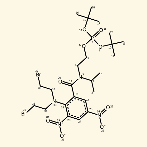 CC(C)N(CCOP(=O)(OC(C)(C)C)OC(C)(C)C)C(=O)c1cc([N+](=O)[O-])cc([N+](=O)[O-])c1N(CCBr)CCBr